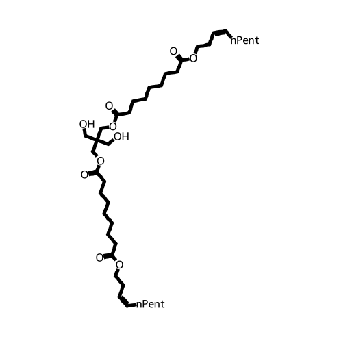 CCCCC/C=C\CCOC(=O)CCCCCCCC(=O)OCC(CO)(CO)COC(=O)CCCCCCCC(=O)OCC/C=C\CCCCC